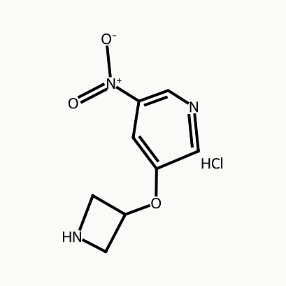 Cl.O=[N+]([O-])c1cncc(OC2CNC2)c1